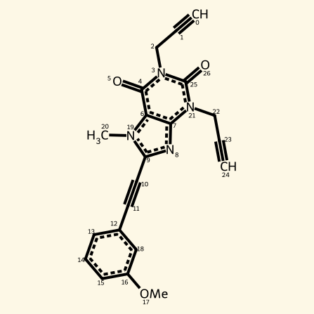 C#CCn1c(=O)c2c(nc(C#Cc3cccc(OC)c3)n2C)n(CC#C)c1=O